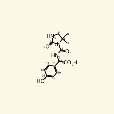 CC1(C)CNC(=O)N1C(=O)NC(C(=O)O)c1ccc(O)cc1